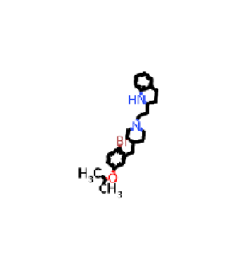 CC(C)Oc1ccc(Br)c(CC2CCN(CCC3CCc4ccccc4N3)CC2)c1